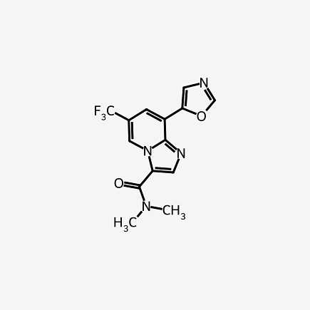 CN(C)C(=O)c1cnc2c(-c3cnco3)cc(C(F)(F)F)cn12